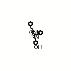 O=C(CCc1ccccc1)Nc1ncc(-c2ccc(O)cc2)nc1-c1ccccc1